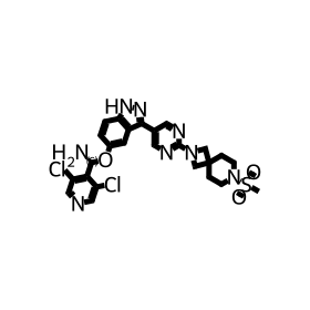 CS(=O)(=O)N1CCC2(CC1)CN(c1ncc(-c3n[nH]c4ccc(O[C@H](N)c5c(Cl)cncc5Cl)cc34)cn1)C2